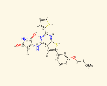 COCCOc1cccc(-c2sc3nc(-c4cccs4)nc(NC4=C(C)C(=O)NC4=O)c3c2C)c1